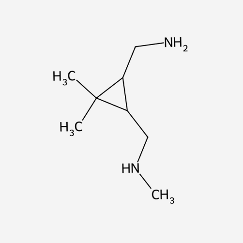 CNCC1C(CN)C1(C)C